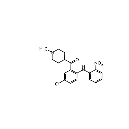 CN1CCC(C(=O)c2cc(Cl)ccc2Nc2ccccc2[N+](=O)[O-])CC1